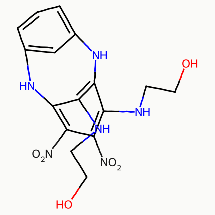 O=[N+]([O-])c1c(NCCO)c2[nH]c3cccc(c3)[nH]c(c1[N+](=O)[O-])c2NCCO